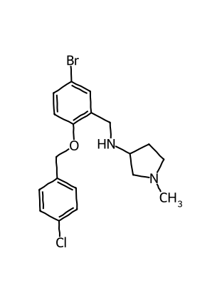 CN1CCC(NCc2cc(Br)ccc2OCc2ccc(Cl)cc2)C1